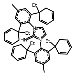 CCC1(c2cc(C)cc(C3(CC)C=CC=CC3)c2-n2ccn(-c3c(C4(CC)C=CC=CC4)cc(C)cc3C3(CC)C=CC=CC3)c2=N)C=CC=CC1